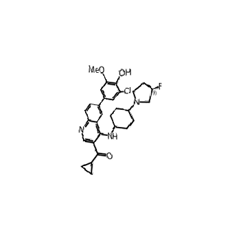 COc1cc(-c2ccc3ncc(C(=O)C4CC4)c(NC4CCC(N5CC[C@@H](F)C5)CC4)c3c2)cc(Cl)c1O